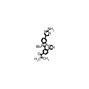 CN(C)C(=O)c1ccc(-n2cncn2)c(-c2nc3cc(-c4cnc(N)nc4)ccc3n2C(C)(C)C)c1